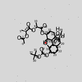 CC(=O)O[C@@H](C)C(=O)OC(C)C(=O)OC1=CC[C@@]2(O)[C@H]3Cc4ccc(OC(=O)OC(C)(C)C)c5c4[C@@]2(CCN3C)[C@H]1O5